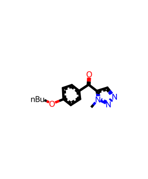 CCCCOc1ccc(C(=O)c2cnnn2C)cc1